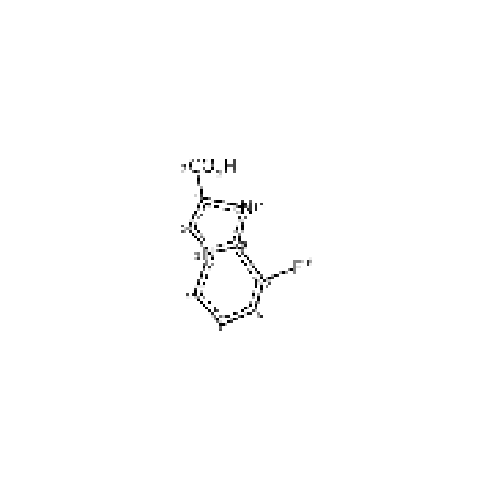 O=C(O)c1cn2cccc(F)c2n1